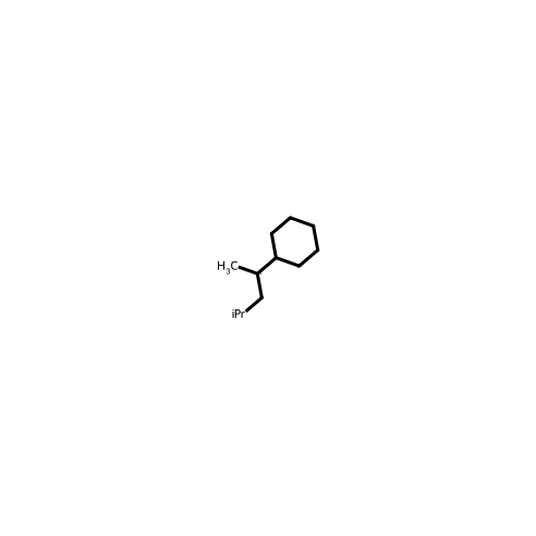 C[C](CC(C)C)C1CCCCC1